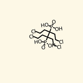 O=P(O)(O)C(CCCl)(CCCl)C(CCCl)(CCCl)P(=O)(O)O